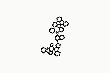 c1ccc(N(c2cccc3c2-c2ccccc2C32c3ccccc3-c3ccccc32)c2ccc(-c3ccc4c(c3)C3(c5ccccc5-4)c4ccccc4-n4c5ccccc5c5cccc3c54)c3ccccc23)cc1